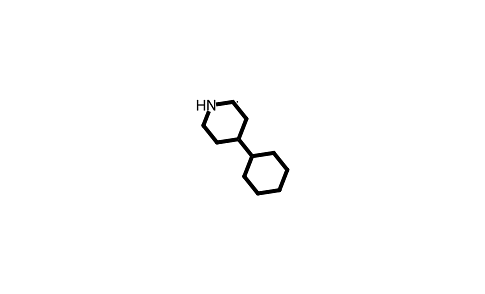 [CH]1CC(C2CCCCC2)CCN1